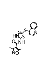 Cc1noc(C)c1C(=O)NC1NN=C(Sc2ccnc3ccccc23)S1